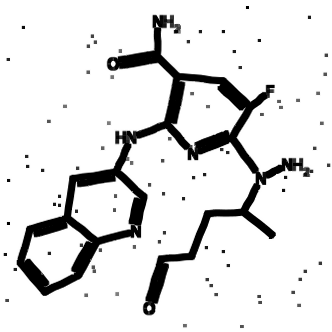 CC(CCC=O)N(N)c1nc(Nc2cnc3ccccc3c2)c(C(N)=O)cc1F